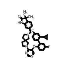 CC1(C)C(=O)Nc2cc(CN3CCC4(CCN(c5ncncc5Oc5ccc(F)cc5-c5ccc(C#N)cc5C5CC5)C4)C3)ccc21